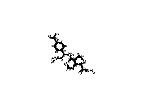 CNCC(Nc1ncnc2c(C(N)=O)nccc12)c1ccc(C(C)C)cc1